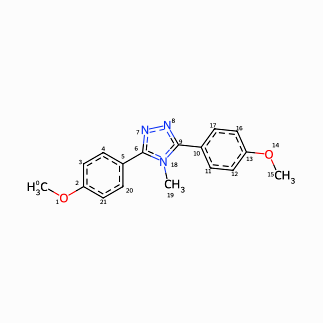 COc1ccc(-c2nnc(-c3ccc(OC)cc3)n2C)cc1